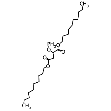 CCCCCCCCCCOC(=O)CC(OP)C(=O)OCCCCCCCCCC